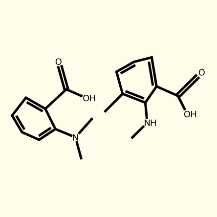 CN(C)c1ccccc1C(=O)O.CNc1c(C)cccc1C(=O)O